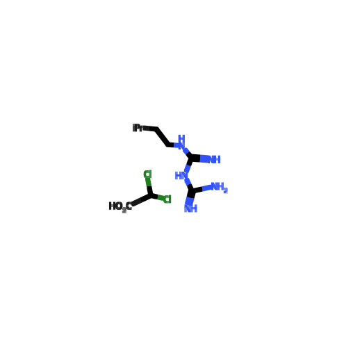 CC(C)CCNC(=N)NC(=N)N.O=C(O)C(Cl)Cl